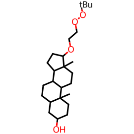 CC(C)(C)OOCCOC1CCC2C3CCC4CC(O)CCC4(C)C3CCC12C